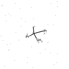 CC(C)C(C)([SiH3])C(C)C